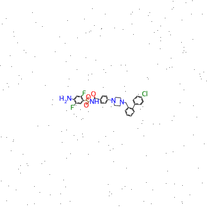 Nc1cc(F)c(S(=O)(=O)NC(=O)c2ccc(N3CCN(Cc4ccccc4-c4ccc(Cl)cc4)CC3)cc2)cc1F